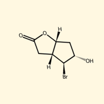 O=C1C[C@H]2[C@H](Br)[C@@H](O)C[C@H]2O1